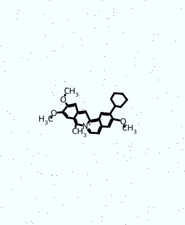 COc1cc2cc3c4cc(C5CCCCC5)c(OC)cc4cc[n+]3c(C)c2cc1OC